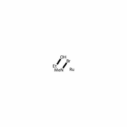 CCO.CNBr.[Ru]